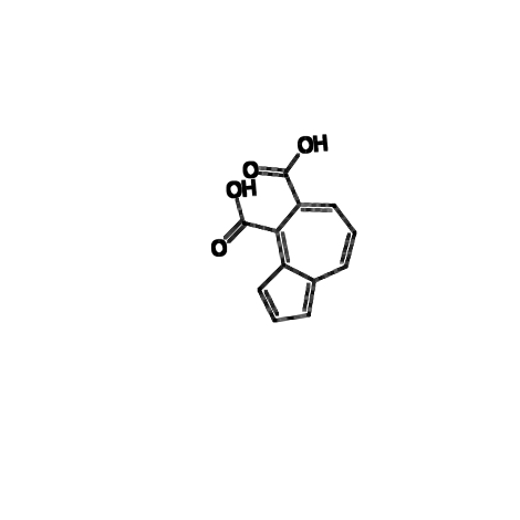 O=C(O)c1cccc2cccc-2c1C(=O)O